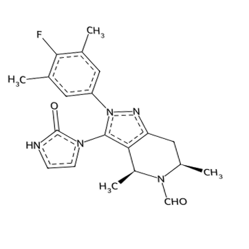 Cc1cc(-n2nc3c(c2-n2cc[nH]c2=O)[C@H](C)N(C=O)[C@H](C)C3)cc(C)c1F